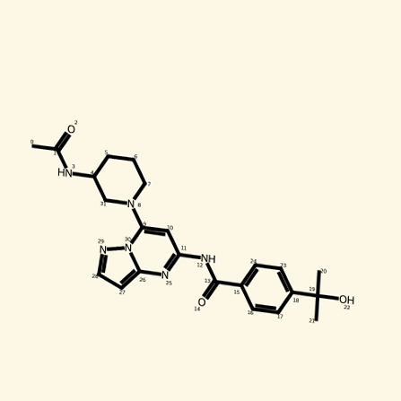 CC(=O)NC1CCCN(c2cc(NC(=O)c3ccc(C(C)(C)O)cc3)nc3ccnn23)C1